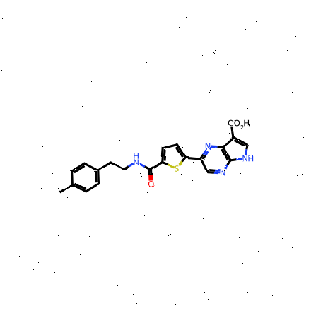 Cc1ccc(CCNC(=O)c2ccc(-c3cnc4[nH]cc(C(=O)O)c4n3)s2)cc1